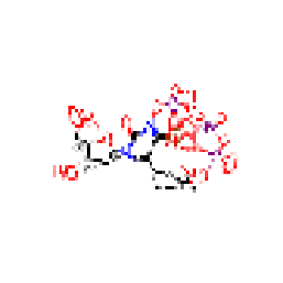 Cc1cn([C@H]2C[C@H](O)[C@@H](CO)O2)c(=O)n(OP(=O)(O)OP(=O)(O)OP(=O)(O)O)c1=S